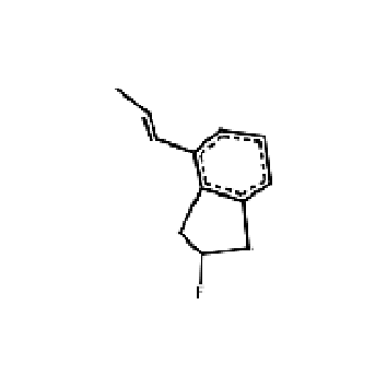 CC=Cc1cccc2c1CC(F)[CH]2